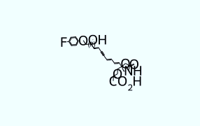 O=C(O)COCC1(C=CC=CC#CC=C[C@@H](O)COc2ccc(F)cc2)CNC(=O)O1